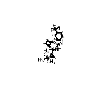 CC(C)(O)[C@H]1C[C@@H]1C(=O)Nc1nc2ccc(C(F)(F)F)cc2n1C1=CC=C1